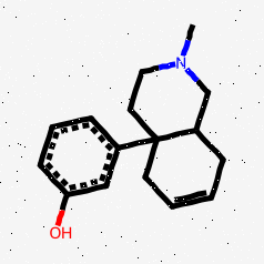 CN1CCC2(c3cccc(O)c3)CC=CCC2C1